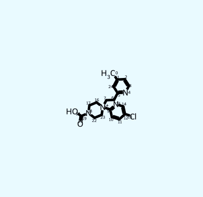 Cc1ccnc(CC[N+]2(c3ccc(Cl)cn3)CCN(C(=O)O)CC2)c1